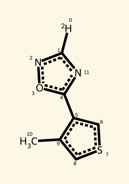 [2H]c1noc(-c2cscc2C)n1